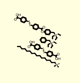 CCCCCCCCCCCCCCCC[N+](C)(C)C.CC[N+](CC)(CC)Cc1ccccc1.CC[N+](CC)(CC)Cc1ccccc1.O=C(O)c1ccc(SSc2ccc(C(=O)O)cc2)cc1.O=C(O)c1ccc(SSc2ccc(C(=O)O)cc2)cc1